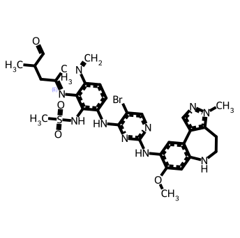 C=Nc1ccc(Nc2nc(Nc3cc4c(cc3OC)NCCc3c-4cnn3C)ncc2Br)c(NS(C)(=O)=O)c1/N=C(\C)CC(C)C=O